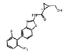 Cc1cccc(F)c1-c1ccc2sc(NC(=O)[C@H]3CC3CO)nc2c1